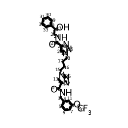 O=C(NCc1cccc(OC(F)(F)F)c1)c1cn(CCCCn2cc(C(=O)NC[C@H](O)c3ccccc3)nn2)nn1